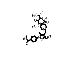 CCCCN1C(=O)[C@@H]([C@H](O)C(C)C)NC(=O)C12CCN(Cc1c(C)nn(-c3ccc(C(=O)N(C)C)cc3)c1C)CC2.Cl